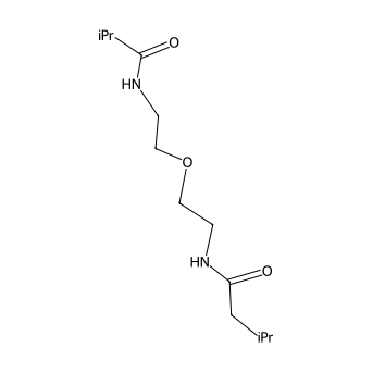 CC(C)CC(=O)NCCOCCNC(=O)C(C)C